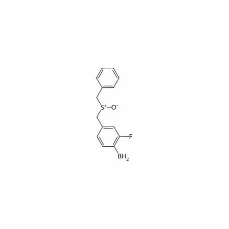 Bc1ccc(C[S+]([O-])Cc2ccccc2)cc1F